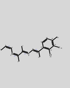 C\C=C/N=C(C)\C(C)=N\C=C(/C)c1ccc(C)c(F)c1Cl